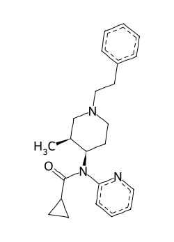 C[C@H]1CN(CCc2ccccc2)CC[C@H]1N(C(=O)C1CC1)c1ccccn1